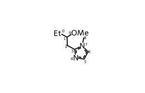 CCC(Cc1nccn1C)OC